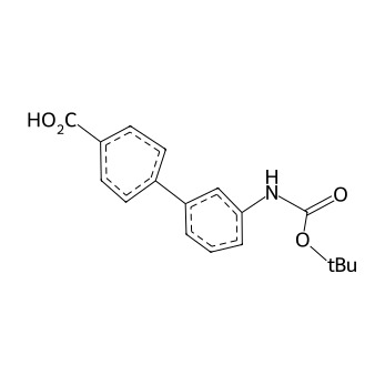 CC(C)(C)OC(=O)Nc1cccc(-c2ccc(C(=O)O)cc2)c1